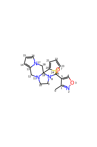 Cc1nocc1C(=O)N1CCN2Cc3cccn3CC21c1cccs1